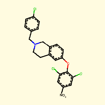 O=[N+]([O-])c1cc(Cl)c(Oc2ccc3c(c2)CCN(Cc2ccc(Cl)cc2)C3)c(Cl)c1